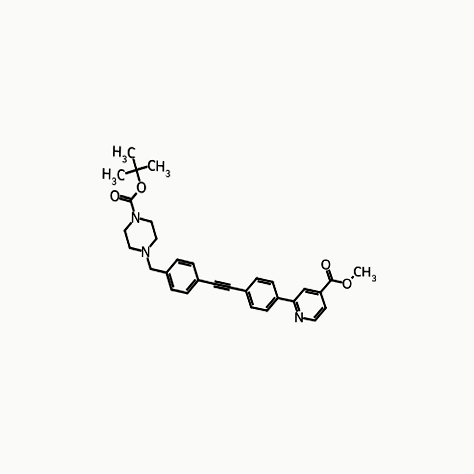 COC(=O)c1ccnc(-c2ccc(C#Cc3ccc(CN4CCN(C(=O)OC(C)(C)C)CC4)cc3)cc2)c1